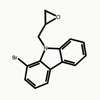 Brc1cccc2c3ccccc3n(CC3CO3)c12